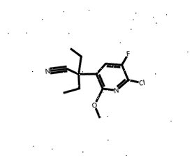 CCC(C#N)(CC)c1cc(F)c(Cl)nc1OC